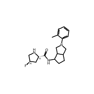 Cc1ccccc1N1CC2CCC(NC(=O)[C@@H]3C[C@@H](F)CN3)C2C1